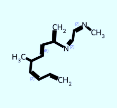 C=C/C=C\C(C)/C=C/C(=C)/N=C\C=N/C